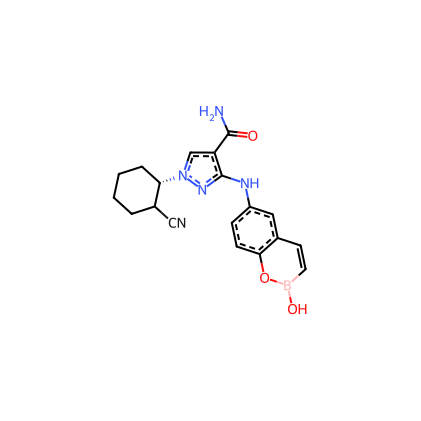 N#CC1CCCC[C@@H]1n1cc(C(N)=O)c(Nc2ccc3c(c2)C=CB(O)O3)n1